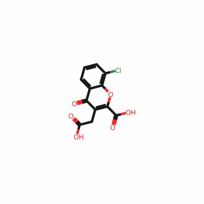 O=C(O)Cc1c(C(=O)O)oc2c(Cl)cccc2c1=O